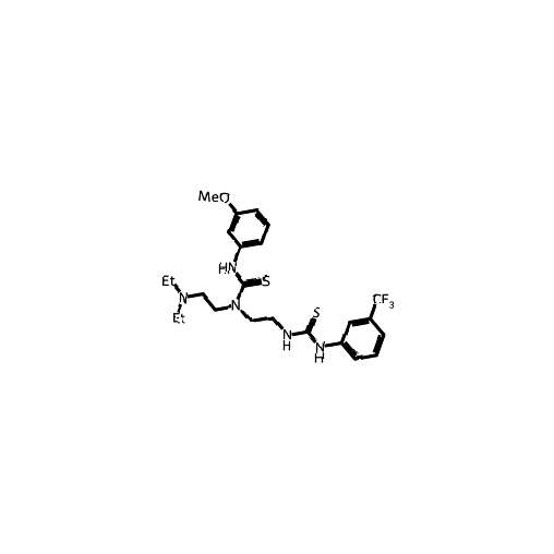 CCN(CC)CCN(CCNC(=S)Nc1cccc(C(F)(F)F)c1)C(=S)Nc1cccc(OC)c1